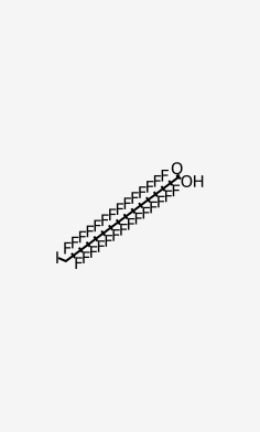 O=C(O)C(F)(F)C(F)(F)C(F)(F)C(F)(F)C(F)(F)C(F)(F)C(F)(F)C(F)(F)C(F)(F)C(F)(F)C(F)(F)C(F)(F)C(F)(F)C(F)(F)CI